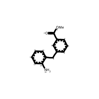 COC(=O)c1cccc(Cc2ccccc2N)c1